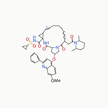 COc1ccc2c(OC3CC4C(=O)NC5(C(=O)NS(=O)(=O)C6CC6)CC5/C=C/CCCCCC(CC(=O)N5C(C)CCCC5C)C(=O)N4C3)cc(-c3ccccc3)nc2c1